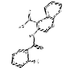 Nc1ccccc1C(=O)Nc1ccc2ccccc2c1C(=O)O